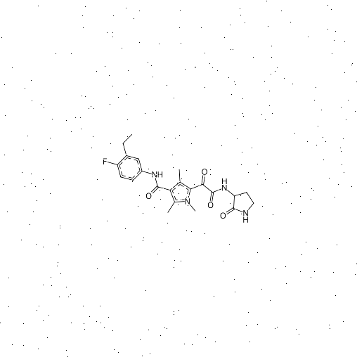 CCc1cc(NC(=O)c2c(C)c(C(=O)C(=O)NC3CCNC3=O)n(C)c2C)ccc1F